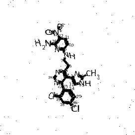 Cc1nc(-c2c(CCNc3ccc([N+](=O)[O-])c(N)n3)n[c]nc2-c2ccc(Cl)cc2Cl)c[nH]1